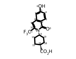 O=c1c2ccc(O)cc2cc(C(F)(F)F)n1[C@H]1CC[C@H](C(=O)O)CC1